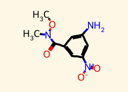 CON(C)C(=O)c1cc(N)cc([N+](=O)[O-])c1